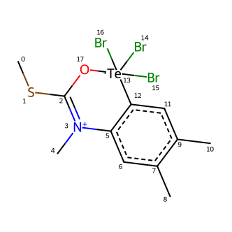 CSC1=[N+](C)c2cc(C)c(C)cc2[Te](Br)(Br)(Br)O1